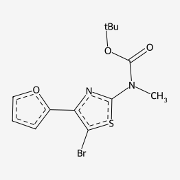 CN(C(=O)OC(C)(C)C)c1nc(-c2ccco2)c(Br)s1